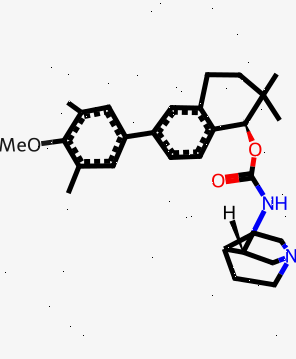 COc1c(C)cc(-c2ccc3c(c2)CCC(C)(C)[C@H]3OC(=O)N[C@@H]2CN3CCC2CC3)cc1C